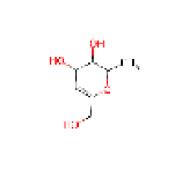 CC1OC(CO)=CC(O)C1O